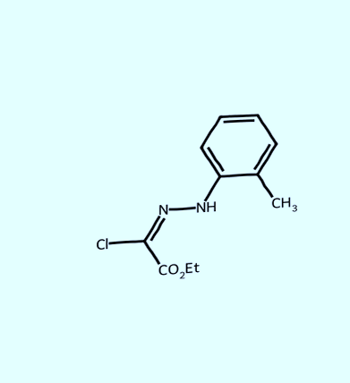 CCOC(=O)/C(Cl)=N\Nc1ccccc1C